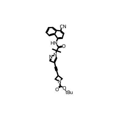 CC(C)(C)OC(=O)N1CC(C#Cc2cnn(C(C)(C)C(=O)Nc3ccc(C#N)c4ccccc34)c2)C1